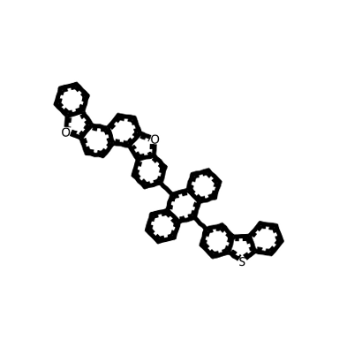 c1ccc2c(c1)oc1ccc3c(ccc4oc5cc(-c6c7ccccc7c(-c7ccc8sc9ccccc9c8c7)c7ccccc67)ccc5c43)c12